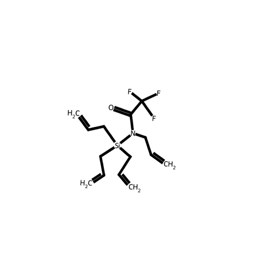 C=CCN(C(=O)C(F)(F)F)[Si](CC=C)(CC=C)CC=C